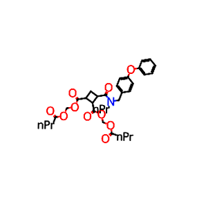 CCCC(=O)OCOC(=O)C1CC(C(=O)N(CCC)Cc2ccc(Oc3ccccc3)cc2)C1C(=O)OCOC(=O)CCC